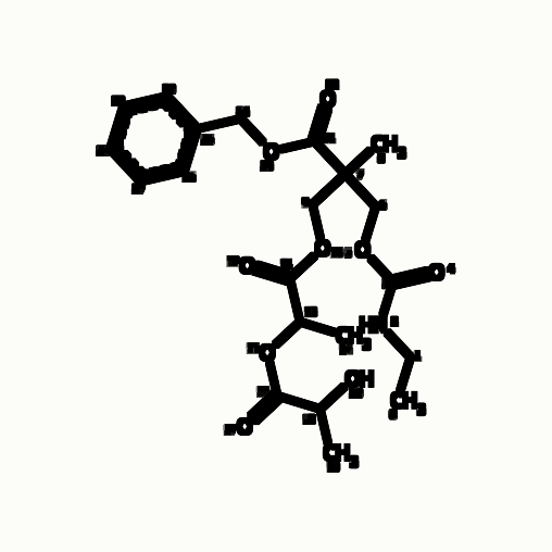 CCNC(=O)OCC(C)(COC(=O)C(C)OC(=O)C(C)O)C(=O)OCc1ccccc1